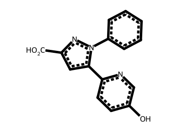 O=C(O)c1cc(-c2ccc(O)cn2)n(-c2ccccc2)n1